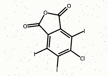 O=C1OC(=O)c2c(I)c(I)c(Cl)c(I)c21